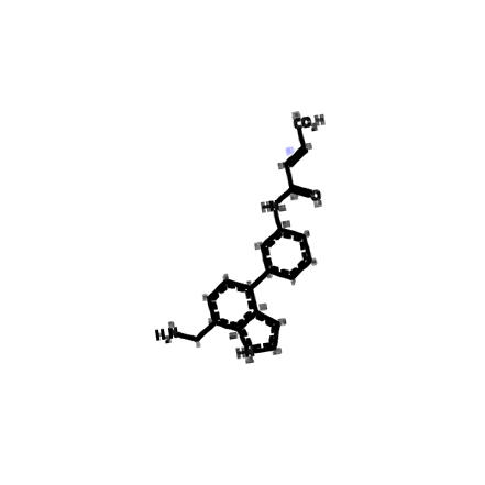 NCc1ccc(-c2cccc(NC(=O)/C=C/C(=O)O)c2)c2cc[nH]c12